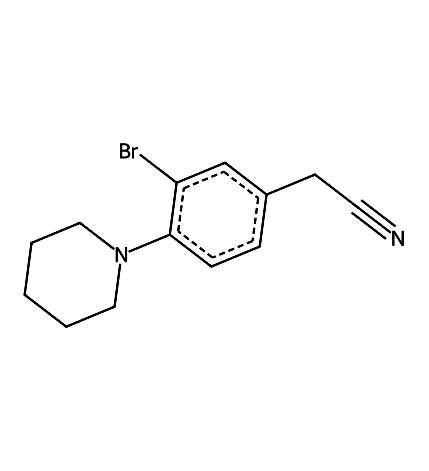 N#CCc1ccc(N2CCCCC2)c(Br)c1